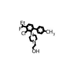 CCC(F)c1ccc(-c2ccc(C)cc2)c(N2CCN(CCO)CC2)c1Cl